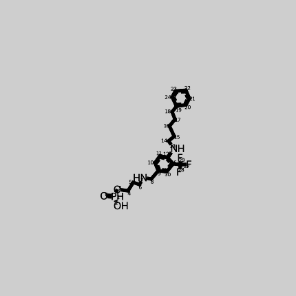 O=[PH](O)OCCCNCc1ccc(NCCCCCc2ccccc2)c(C(F)(F)F)c1